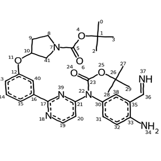 CC(C)(C)OC(=O)N1CCC(Oc2cccc(-c3nccc(N(C(=O)OC(C)(C)C)c4ccc(N)c(C=N)c4)n3)c2)C1